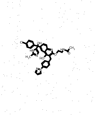 CC(=O)NCCOc1nc2ccc(C(O)(c3ccc(Cl)cc3)c3cnc(C)[nH]3)cc2c(O)c1Cc1ccc(-n2cccn2)cc1